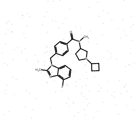 Cc1nc2c(F)cccc2n1Cc1ccc(C(=O)N(C)C2CCN(C3CCC3)C2)cc1